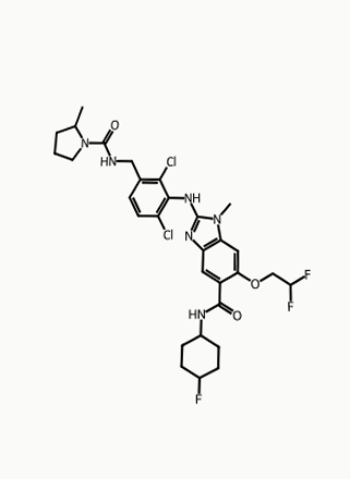 CC1CCCN1C(=O)NCc1ccc(Cl)c(Nc2nc3cc(C(=O)NC4CCC(F)CC4)c(OCC(F)F)cc3n2C)c1Cl